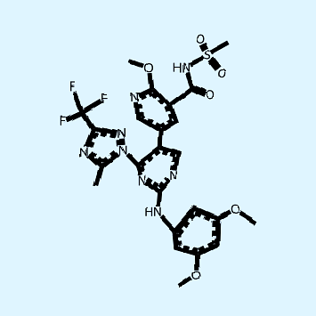 COc1cc(Nc2ncc(-c3cnc(OC)c(C(=O)NS(C)(=O)=O)c3)c(-n3nc(C(F)(F)F)nc3C)n2)cc(OC)c1